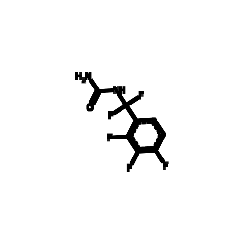 NC(=O)NC(F)(F)c1ccc(F)c(F)c1F